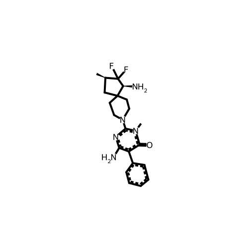 C[C@@H]1CC2(CCN(c3nc(N)c(-c4ccccc4)c(=O)n3C)CC2)[C@H](N)C1(F)F